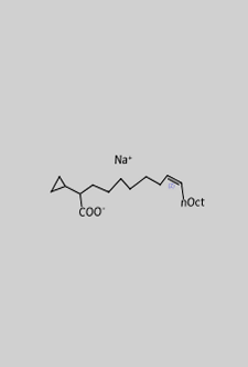 CCCCCCCC/C=C\CCCCCCC(C(=O)[O-])C1CC1.[Na+]